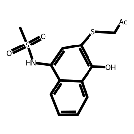 CC(=O)CSc1cc(NS(C)(=O)=O)c2ccccc2c1O